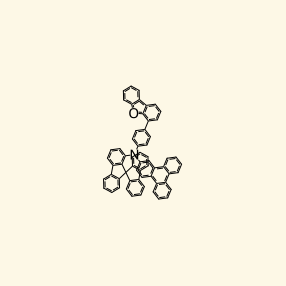 c1ccc2c(c1)-c1ccccc1C21c2ccccc2-c2cccc(N(c3ccc(-c4cccc5c4oc4ccccc45)cc3)c3ccc4c5ccccc5c5ccccc5c4c3)c21